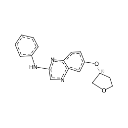 c1ccc(Nc2cnc3cc(O[C@@H]4CCOC4)ccc3n2)cc1